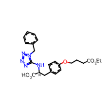 CCOC(=O)CCCOc1ccc(C[C@H](Nc2nnnn2Cc2ccccc2)C(=O)O)cc1